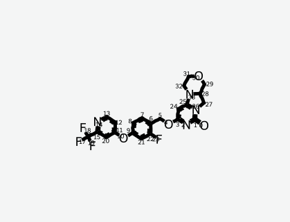 O=c1nc(OCc2ccc(Oc3ccnc(C(F)(F)F)c3)cc2F)cc2n1CC1COCCN21